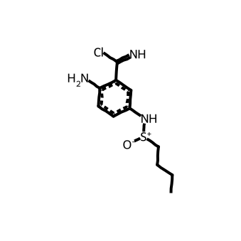 CCCC[S+]([O-])Nc1ccc(N)c(C(=N)Cl)c1